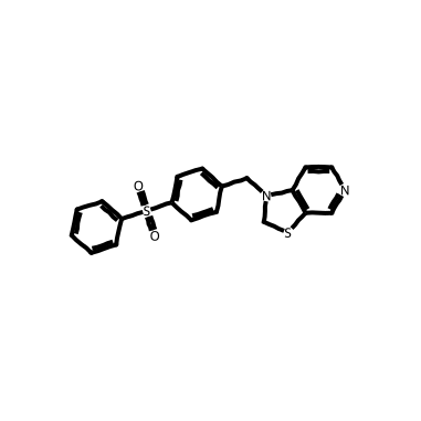 O=S(=O)(c1ccccc1)c1ccc(CN2CSc3cnccc32)cc1